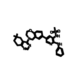 CC1(C)CCc2ncnc(N3CCOc4ccc(-c5cnc(Nc6ccccc6)c(NS(C)(=O)=O)c5)cc4C3)c2C1